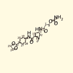 Cn1cc(NC(=O)CCOC(N)=O)cc1C(=O)Nc1ccc(C2OCCO2)cc1